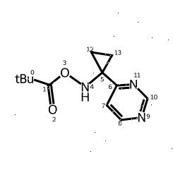 CC(C)(C)C(=O)ONC1(c2ccncn2)CC1